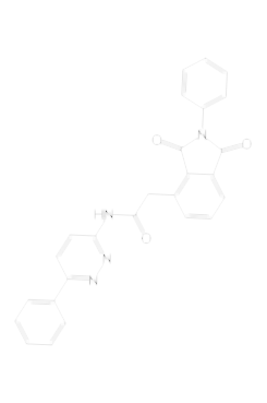 O=C(Cc1cccc2c1C(=O)N(c1ccccc1)C2=O)Nc1ccc(-c2ccccc2)nn1